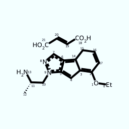 CCOC1=C2C=c3c(cnn3C[C@H](C)N)=C2CC=C1.O=C(O)C=CC(=O)O